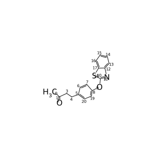 CC(=O)CCc1ccc(Oc2nc3ccccc3s2)cc1